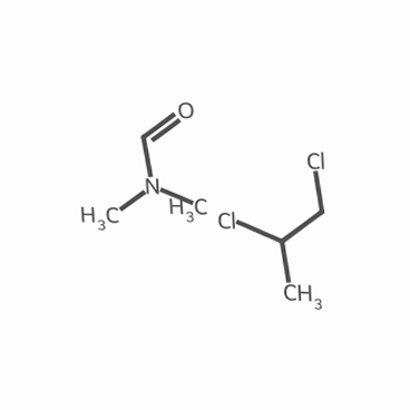 CC(Cl)CCl.CN(C)C=O